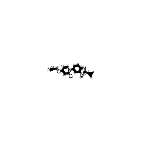 Cn1c(C2CC2)nc2ccc(-n3ccc(OCC#N)cc3=O)cc21